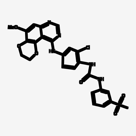 COc1cc2ncnc(Nc3ccc(NC(=O)Nc4cccc(S(C)(=O)=O)c4)c(Cl)c3)c2c2c1OCCO2